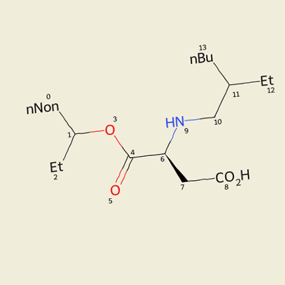 CCCCCCCCCC(CC)OC(=O)[C@H](CC(=O)O)NCC(CC)CCCC